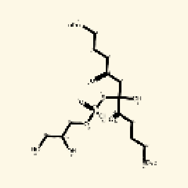 CCCCCCCCCCCCCC(=O)CC(O)(SP(=O)(O)OCC(O)CO)C(=O)CCCCCCCCCCCCC